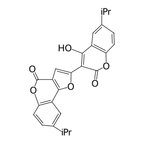 CC(C)c1ccc2oc(=O)c(-c3cc4c(=O)oc5ccc(C(C)C)cc5c4o3)c(O)c2c1